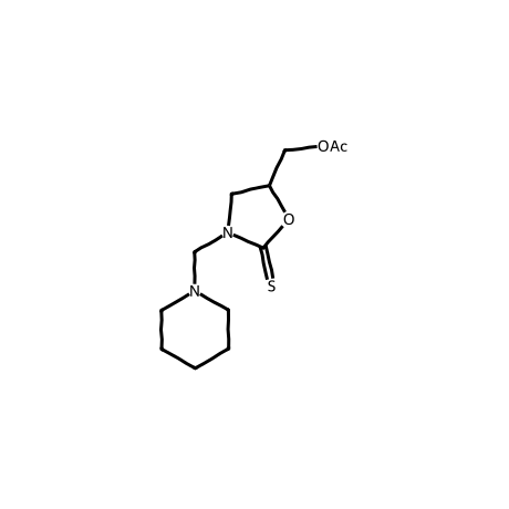 CC(=O)OCC1CN(CN2CCCCC2)C(=S)O1